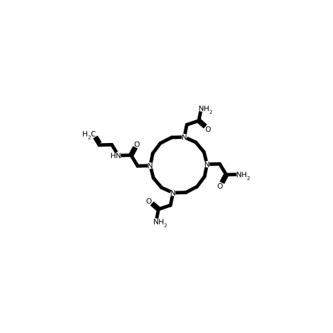 C=CCNC(=O)CN1CCCN(CC(N)=O)CCN(CC(N)=O)CCCN(CC(N)=O)CC1